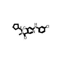 CN(CC1CCCC1)C(=O)c1cnc(Nc2cccc(Cl)c2)cc1C(F)(F)F